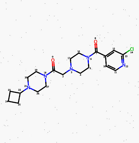 O=C(CN1CCN(C(=O)c2ccnc(Cl)c2)CC1)N1CCN(C2CCC2)CC1